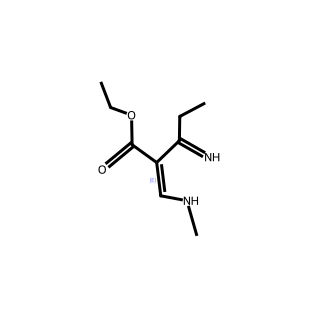 CCOC(=O)/C(=C/NC)C(=N)CC